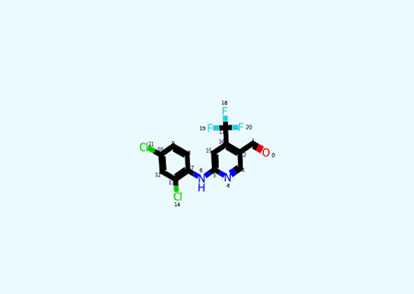 O=Cc1cnc(Nc2ccc(Cl)cc2Cl)cc1C(F)(F)F